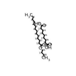 CCCCCCCCCCCCCC(=O)OCCCC.O=C(O)CCCCCCCC(=O)O